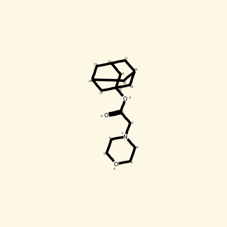 O=C(CN1CCOCC1)OC12CC3CC(CC(C3)C1)C2